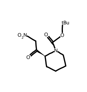 CC(C)(C)OC(=O)N1CCCC[C@H]1C(=O)C[N+](=O)[O-]